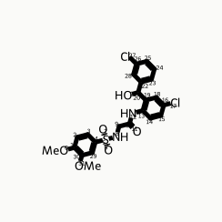 COc1ccc(S(=O)(=O)NCC(=O)Nc2ccc(Cl)cc2C(O)c2cccc(Cl)c2)cc1OC